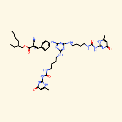 CCCCC(CC)COC(=O)/C(C#N)=C/c1ccc(Nc2nc(NCCCCNC(=O)Nc3nc(=O)cc(C)[nH]3)nc(NCCCCNC(=O)Nc3nc(=O)cc(C)[nH]3)n2)cc1